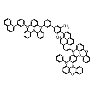 Cc1cc(-c2cccc(N3c4ccccc4B4c5ccccc5N(c5cccc(-c6cccc7ccccc67)c5)c5cccc3c54)c2)cc(C)c1-c1ccc2ccc3c(N4c5cc6c(cc5B5c7ccccc7Oc7cccc4c75)B4c5ccccc5Oc5cccc(c54)N6c4ccccc4)ccc4ccc1c2c43